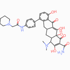 CN(C)C1C(O)=C(C(N)=O)C(=O)C2(O)C(O)=C3C(=O)c4c(O)ccc(-c5ccc(NC(=O)CN6CCCCC6)cc5)c4CC3CC12